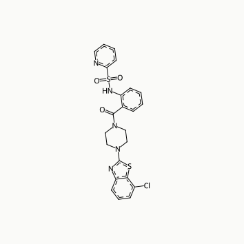 O=C(c1ccccc1NS(=O)(=O)c1ccccn1)N1CCN(c2nc3cccc(Cl)c3s2)CC1